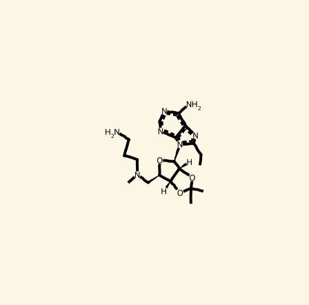 CCc1nc2c(N)ncnc2n1[C@@H]1O[C@H](CN(C)CCCN)[C@H]2OC(C)(C)O[C@H]21